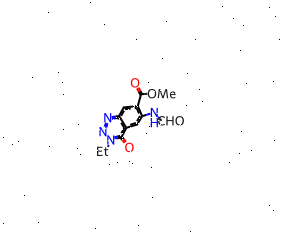 CCn1nnc2cc(C(=O)OC)c(NC=O)cc2c1=O